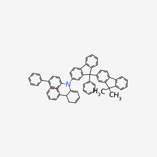 CC1(C)c2ccccc2-c2ccc(C3(c4ccccc4)c4ccccc4-c4ccc(N(C5=CC=CCC5c5ccccc5)c5ccc(-c6ccccc6)cc5)cc43)cc21